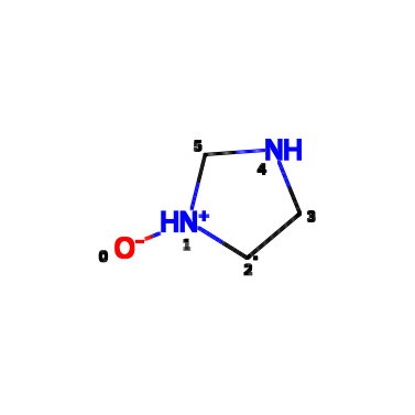 [O-][NH+]1[CH]CNC1